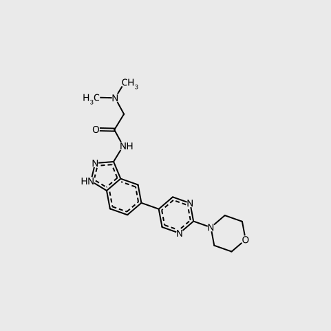 CN(C)CC(=O)Nc1n[nH]c2ccc(-c3cnc(N4CCOCC4)nc3)cc12